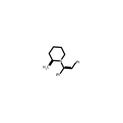 C=C1CCCCN1/C(=C\C(C)C)C(C)C